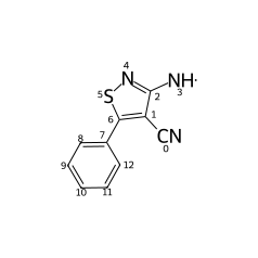 N#Cc1c([NH])nsc1-c1ccccc1